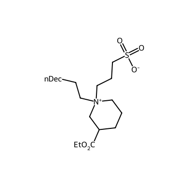 CCCCCCCCCCCC[N+]1(CCCS(=O)(=O)[O-])CCCC(C(=O)OCC)C1